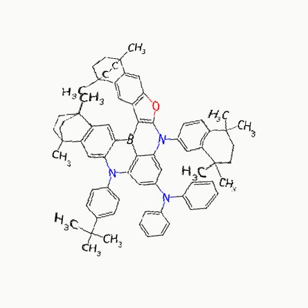 CC(C)(C)c1ccc(N2c3cc4c(cc3B3c5c2cc(N(c2ccccc2)c2ccccc2)cc5N(c2ccc5c(c2)C(C)(C)CCC5(C)C)c2oc5cc6c(cc5c23)C2(C)CCC6(C)CC2)C2(C)CCC4(C)CC2)cc1